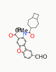 COC(=O)c1cc2oc3ccc(C=O)cc3c2cc1N(C(=O)C1CCC2CCC2CC1)C(C)C